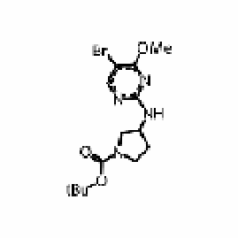 COc1nc(NC2CCN(C(=O)OC(C)(C)C)C2)ncc1Br